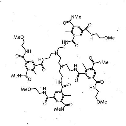 CNC(=O)c1cc(C(=O)NCCOC)cc(C(=O)NCCN(CCNC(=O)c2cc(C(=O)NCCOC)cc(C(=O)NC)c2C)CCN(CCNC(=O)c2cc(C(=O)NCCOC)cc(C(=O)NC)c2C)CCNC(=O)c2cc(C(=O)NCCOC)cc(C(=O)NC)c2C)c1C